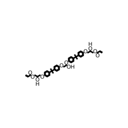 C=CC(=O)OCC(O)COc1ccc(C(C)(C)c2ccc(OCC(O)Oc3ccc(C(C)(C)c4ccc(OCC(O)COC(=O)C=C)cc4)cc3)cc2)cc1